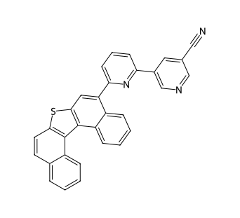 N#Cc1cncc(-c2cccc(-c3cc4sc5ccc6ccccc6c5c4c4ccccc34)n2)c1